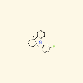 CC12CCCCC1(C)N(c1cccc(F)c1)c1ccccc12